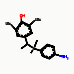 CC(c1cc(C(C)(C)C)c(O)c(C(C)(C)C)c1)[Si](C)(C)c1ccc(N)cc1